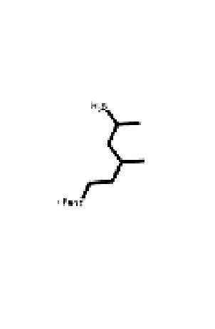 BC(C)CC(C)CCCCCCC